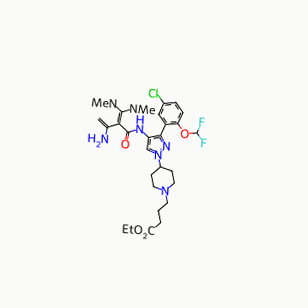 C=C(N)C(C(=O)Nc1cn(C2CCN(CCCC(=O)OCC)CC2)nc1-c1cc(Cl)ccc1OC(F)F)=C(NC)NC